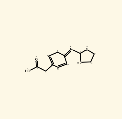 O=C(O)CC1=CCC(=NC2SCCS2)C=C1